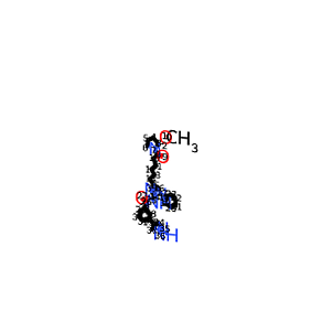 COC[C@H]1CCCN1C(=O)CCCCCc1cn(-c2ccccc2)c(NC(=O)c2cccc(-c3cn[nH]c3)c2)n1